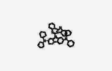 c1ccc(N(c2ccccc2)c2ccc3c4ccc(N(c5ccccc5)c5ccccc5)cc4n(-c4nc5ccccc5c5nc6ccccc6n45)c3c2)cc1